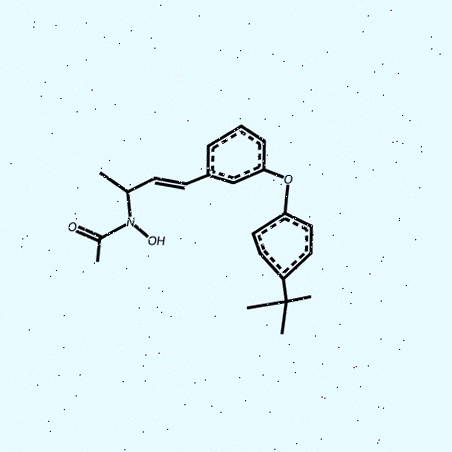 CC(=O)N(O)C(C)/C=C/c1cccc(Oc2ccc(C(C)(C)C)cc2)c1